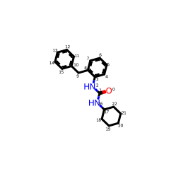 O=C(Nc1ccccc1Cc1ccccc1)NC1CCCCC1